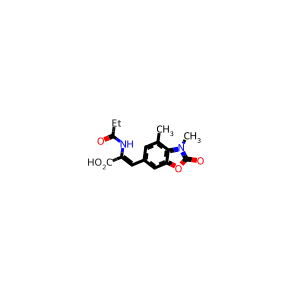 CCC(=O)NC(=Cc1cc(C)c2c(c1)oc(=O)n2C)C(=O)O